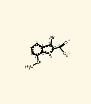 COc1cccc2c(Br)c(C(=O)O)sc12